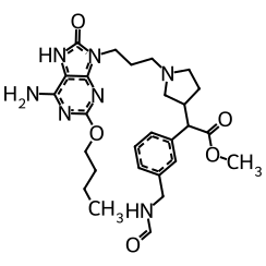 CCCCOc1nc(N)c2[nH]c(=O)n(CCCN3CCC(C(C(=O)OC)c4cccc(CNC=O)c4)C3)c2n1